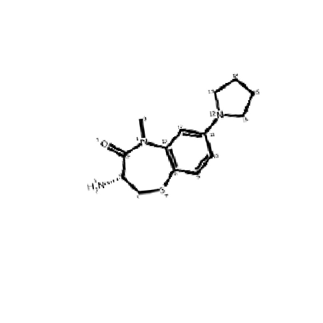 CN1C(=O)[C@@H](N)CSc2ccc(N3CCCC3)cc21